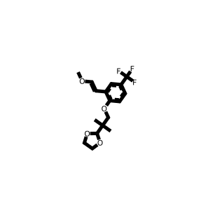 COC=Cc1cc(C(F)(F)F)ccc1OCC(C)(C)C1OCCO1